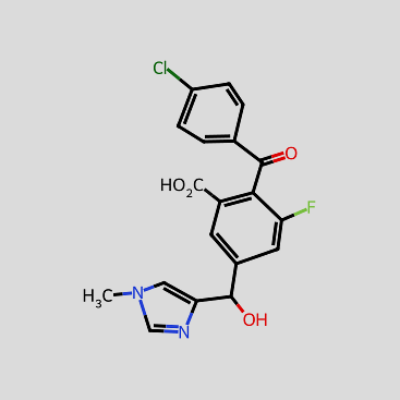 Cn1cnc(C(O)c2cc(F)c(C(=O)c3ccc(Cl)cc3)c(C(=O)O)c2)c1